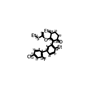 C=C(OC1=C(c2cc(-c3ccc(Cl)cc3F)ccc2CC)C(=O)CCC1CC)SCC